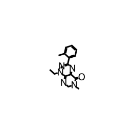 CCN1N=C(c2ccccc2C)N=C2C(=O)N(C)CN=C21